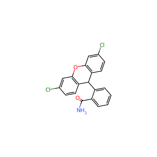 NC(=O)c1ccccc1C1c2ccc(Cl)cc2Oc2cc(Cl)ccc21